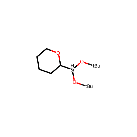 CC(C)(C)O[SiH](OC(C)(C)C)C1CCCCO1